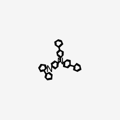 c1ccc(-c2ccc(N(c3ccc(-c4ccccc4)cc3)c3ccc(-n4c5ccccc5c5ccccc54)cc3)cc2)cc1